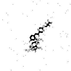 CS(=O)(=O)[C@]1(c2cc(/C=C(\F)c3cnc(OCC(F)(F)C(F)F)cn3)ccc2F)CO[C@@](C(F)(F)F)(S(C)(=O)=O)C(N)=N1